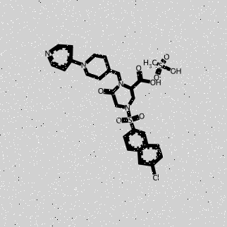 CS(=O)(=O)O.O=C(O)C1CN(S(=O)(=O)c2ccc3cc(Cl)ccc3c2)CC(=O)N1CC1CCN(c2ccncc2)CC1